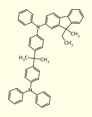 CCC1(C)c2ccccc2-c2ccc(N(c3ccccc3)c3ccc(C(C)(C)c4ccc(N(c5ccccc5)c5ccccc5)cc4)cc3)cc21